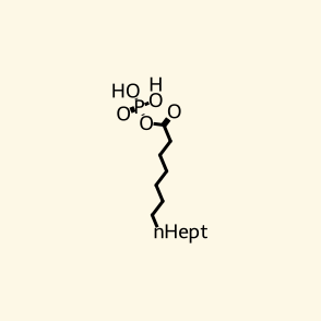 CCCCCCCCCCCCCC(=O)OP(=O)(O)O